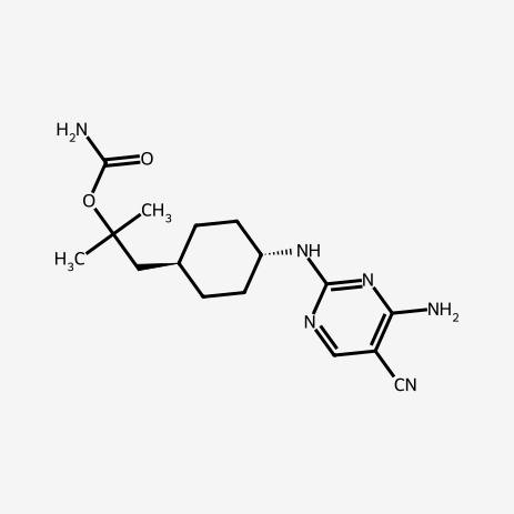 CC(C)(C[C@H]1CC[C@H](Nc2ncc(C#N)c(N)n2)CC1)OC(N)=O